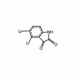 [Li][c]1ccc2c([c]1[Li])C(=O)C(=O)N2